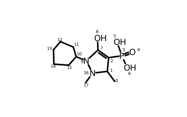 CC1C(P(=O)(O)O)=C(O)N(C2CCCCC2)N1C